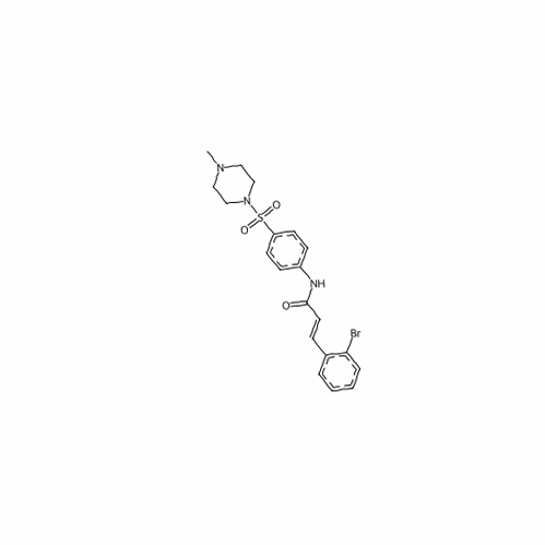 CN1CCN(S(=O)(=O)c2ccc(NC(=O)C=Cc3ccccc3Br)cc2)CC1